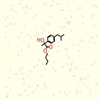 CCCCOC(=O)C(C)(O)c1ccc(CC(C)C)cc1